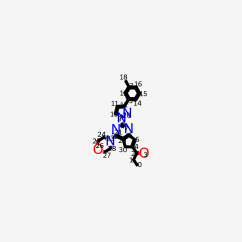 CCC(=O)C1=Cc2nc(-n3ccc(-c4cccc(C)c4)n3)nc(N3CCOCC3)c2C1